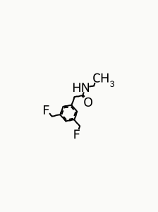 CCNC(=O)Cc1cc(CF)cc(CF)c1